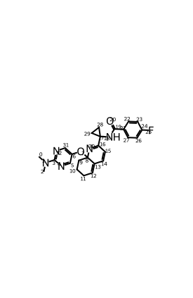 CN(C)c1ncc(OC23CCCC=C2C=CC(C2(NC(=O)c4ccc(F)cc4)CC2)=N3)cn1